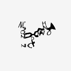 CC(C)(C#N)COc1cnc(OCC#N)cc1-c1ccn2nc(NC(=O)C3CC3)cc2c1